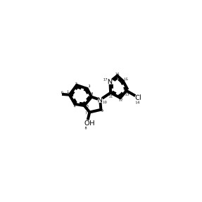 Cc1ccc2c(c1)C(O)CN2c1cc(Cl)ccn1